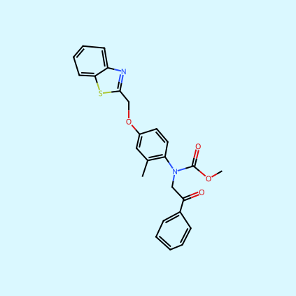 COC(=O)N(CC(=O)c1ccccc1)c1ccc(OCc2nc3ccccc3s2)cc1C